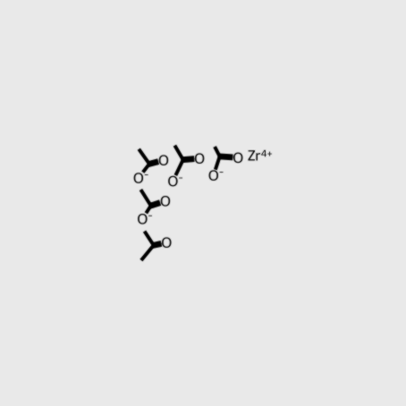 CC(=O)[O-].CC(=O)[O-].CC(=O)[O-].CC(=O)[O-].CC(C)=O.[Zr+4]